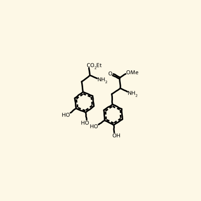 CCOC(=O)C(N)Cc1ccc(O)c(O)c1.COC(=O)C(N)Cc1ccc(O)c(O)c1